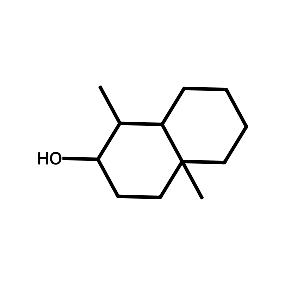 CC1C(O)CCC2(C)CCCCC12